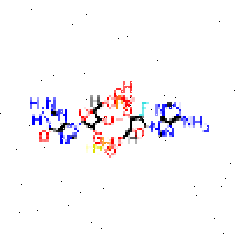 Nc1nc2c(ncn2[C@@H]2O[C@@H]3COP(=O)(O)OC4C(F)[C@H](n5cnc6c(N)ncnc65)O[C@@H]4CO[P@@](=O)(S)OC2C3O)c(=O)[nH]1